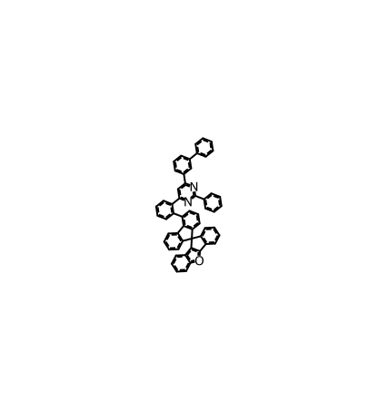 c1ccc(-c2cccc(-c3cc(-c4ccccc4-c4cccc5c4-c4ccccc4C54c5ccccc5-c5oc6ccccc6c54)nc(-c4ccccc4)n3)c2)cc1